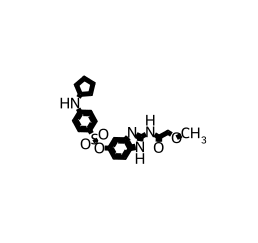 COCC(=O)Nc1nc2cc(OS(=O)(=O)c3ccc(NC4CCCC4)cc3)ccc2[nH]1